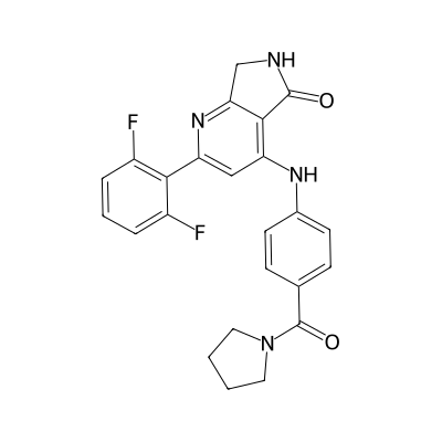 O=C1NCc2nc(-c3c(F)cccc3F)cc(Nc3ccc(C(=O)N4CCCC4)cc3)c21